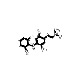 CCN(C)C=Nc1cc(C)c(Nc2c(F)cccc2Cl)cc1Cl